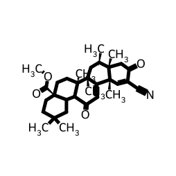 COC(=O)[C@]12CCC(C)(C)CC1C1C(=O)C=C3[C@@]4(C)C=C(C#N)C(=O)C[C@@]4(C)[C@H](C)C[C@@]3(C)[C@]1(C)CC2